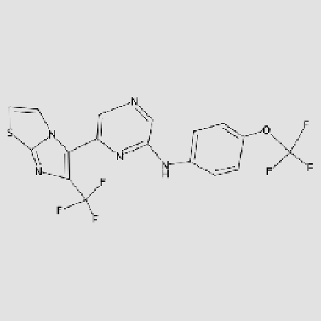 FC(F)(F)Oc1ccc(Nc2cncc(-c3c(C(F)(F)F)nc4sccn34)n2)cc1